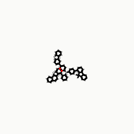 CC1(C)c2ccccc2-c2cccc(-c3ccc(N(c4ccc(-c5ccc6sc7ccccc7c6c5)cc4)c4ccccc4-c4cccc5oc6c7ccccc7ccc6c45)cc3)c21